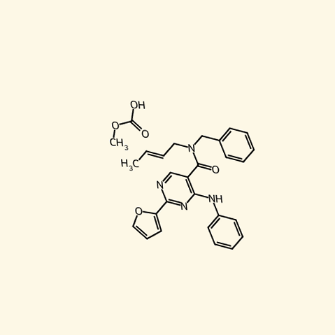 C/C=C/CN(Cc1ccccc1)C(=O)c1cnc(-c2ccco2)nc1Nc1ccccc1.COC(=O)O